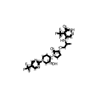 CC(CO[C@@H]1CCN([C@H]2CCN(c3ncc(C(F)(F)F)cn3)C[C@H]2O)C1=O)Nc1cn[nH]c(=O)c1C(F)(F)F